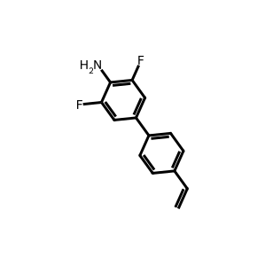 C=Cc1ccc(-c2cc(F)c(N)c(F)c2)cc1